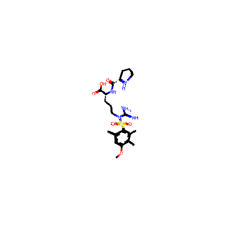 COc1cc(C)c(S(=O)(=O)N(CCC[C@H](NC(=O)[C@@H]2CCCN2)C(=O)O)C(=N)N)c(C)c1C